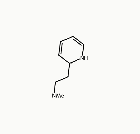 CNCC[C]1C=CC=CN1